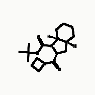 CC(C)(C)OC(=O)N1[C@H](C(=O)N2CCC2)C[C@@H]2CCCC[C@@H]21